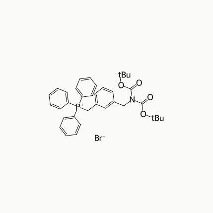 CC(C)(C)OC(=O)N(Cc1cccc(C[P+](c2ccccc2)(c2ccccc2)c2ccccc2)c1)C(=O)OC(C)(C)C.[Br-]